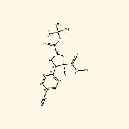 COC(=O)[C@]1(F)CN(C(=O)OC(C)(C)C)C[C@H]1c1ccc(C#N)cc1